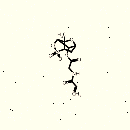 C=CC(=O)NCC(=O)OC1C2CC3C(C)(O2)C1OS3(=O)=O